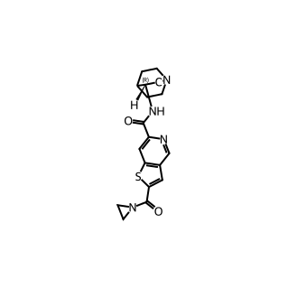 O=C(N[C@H]1CN2CCC1CC2)c1cc2sc(C(=O)N3CC3)cc2cn1